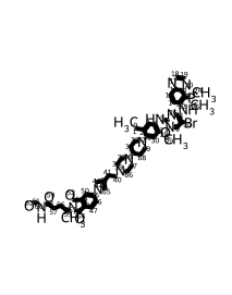 CCc1cc(Nc2ncc(Br)c(Nc3ccc4nccnc4c3P(C)C)n2)c(OC)cc1N1CCC(N2CCN(CCC3CN(c4ccc5c(c4)C(=O)N(C(C)CCC(=O)NC=O)C5=O)C3)CC2)CC1